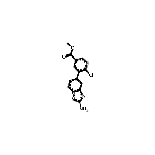 COC(=O)c1cnc(Cl)c(-c2ccn3nc(N)nc3c2)c1